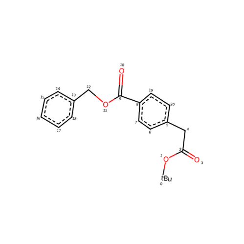 CC(C)(C)OC(=O)Cc1ccc(C(=O)OCc2ccccc2)cc1